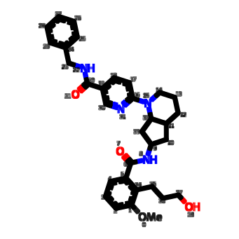 COc1cccc(C(=O)NC2CC3CCCN(c4ccc(C(=O)NCc5ccccc5)cn4)C3C2)c1CCCO